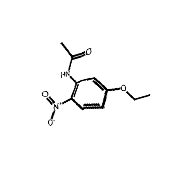 CCOc1ccc([N+](=O)[O-])c(NC(C)=O)c1